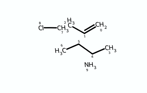 C=CC.CCCC.CCl.N